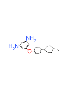 CCC1CCC(c2ccc(Oc3cc(N)cc(N)c3)cc2)CC1